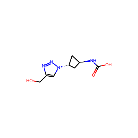 O=C(O)N[C@H]1C[C@H](n2cc(CO)nn2)C1